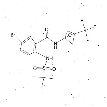 CC(C)(C)S(=O)(=O)Nc1ccc(Br)cc1C(=O)NC12CC(C(F)(F)F)(C1)C2